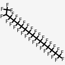 F[C](C(F)(F)F)C(F)(F)C(F)(F)C(F)(F)C(F)(F)C(F)(F)C(F)(F)C(F)(F)C(F)(F)C(F)(F)C(F)(F)C(F)(F)C(F)(F)C(F)(F)C(F)(F)F